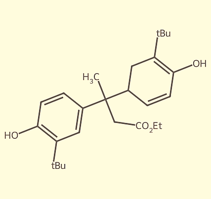 CCOC(=O)CC(C)(c1ccc(O)c(C(C)(C)C)c1)C1C=CC(O)=C(C(C)(C)C)C1